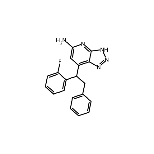 Nc1cc(C(Cc2ccccc2)c2ccccc2F)c2nn[nH]c2n1